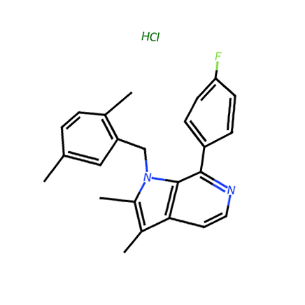 Cc1ccc(C)c(Cn2c(C)c(C)c3ccnc(-c4ccc(F)cc4)c32)c1.Cl